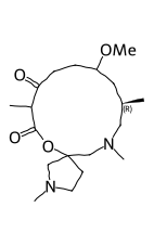 COC1CCC(=O)C(C)C(=O)OC2(CCN(C)C2)CN(C)C[C@H](C)C1